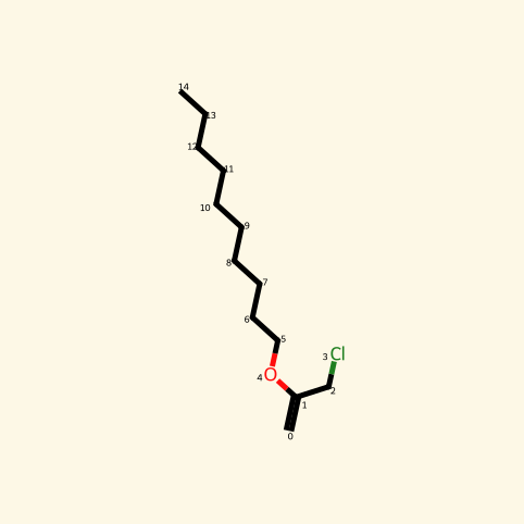 C=C(CCl)OCCCCCCCCCC